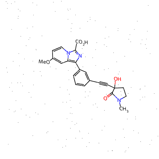 COc1ccn2c(C(=O)O)nc(-c3cccc(C#CC4(O)CCN(C)C4=O)c3)c2c1